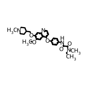 CCN(C)C(=O)C(=O)Nc1ccc(Oc2ccnc3cc(OCC4CCN(C)CC4)c(OC)cc23)cc1